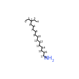 CCC(CC)CCCCCCCCCCCCCN